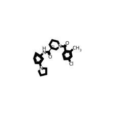 Cc1cc(Cl)ccc1C(=O)N1CCC[C@H](C(=O)Nc2cccc(N3CCCC3)c2)C1